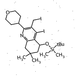 CC1(C)Cc2nc(C3CCOCC3)c(CI)c(I)c2C(O[Si](C)(C)C(C)(C)C)C1